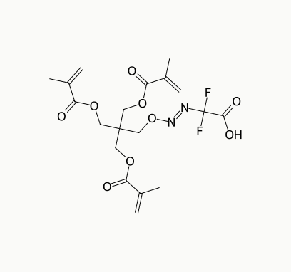 C=C(C)C(=O)OCC(CON=NC(F)(F)C(=O)O)(COC(=O)C(=C)C)COC(=O)C(=C)C